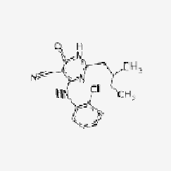 CCC(C)Cc1nc(Nc2ccccc2Cl)c(C#N)c(=O)[nH]1